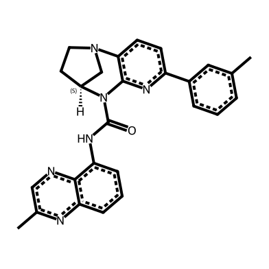 Cc1cccc(-c2ccc3c(n2)N(C(=O)Nc2cccc4nc(C)cnc24)[C@H]2CCN3C2)c1